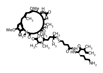 C=CC(C)C(=O)[C@H](CCCCN)NNC(=O)CCCSSC(C)(C)CCC(=O)N(C)[C@@H](C)C(=O)O[C@H]1CC(=O)N(C)c2cc(cc(OC)c2Cl)C/C(C)=C/C=C/[C@@H](OC)[C@@]2(O)C[C@H](OC(=O)N2)[C@@H](C)[C@@H]2O[C@@]12C